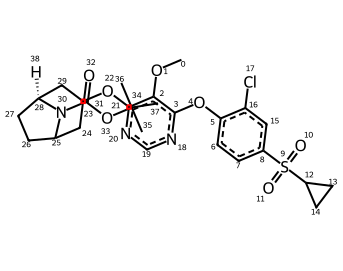 COc1c(Oc2ccc(S(=O)(=O)C3CC3)cc2Cl)ncnc1OC1CC2CC[C@@H](C1)N2C(=O)OC(C)(C)C